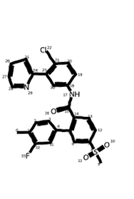 Cc1ccc(-c2cc(S(C)(=O)=O)ccc2C(=O)Nc2ccc(Cl)c(-c3ccccn3)c2)cc1F